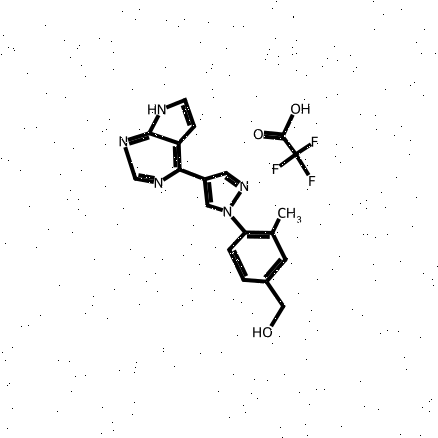 Cc1cc(CO)ccc1-n1cc(-c2ncnc3[nH]ccc23)cn1.O=C(O)C(F)(F)F